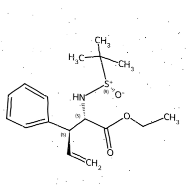 C=C[C@@H](c1ccccc1)[C@H](N[S@@+]([O-])C(C)(C)C)C(=O)OCC